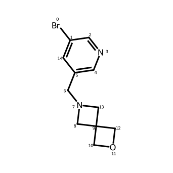 Brc1cncc(CN2CC3(COC3)C2)c1